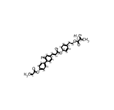 C=CC(=O)Oc1ccc(-c2ccc(/C=C/C(=O)O[C@@H]3C=CC(CCOC(=O)C(=C)C)=CC3)cc2F)cc1